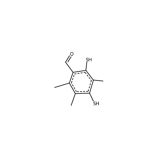 Cc1c(C)c(C=O)c(S)c(C)c1S